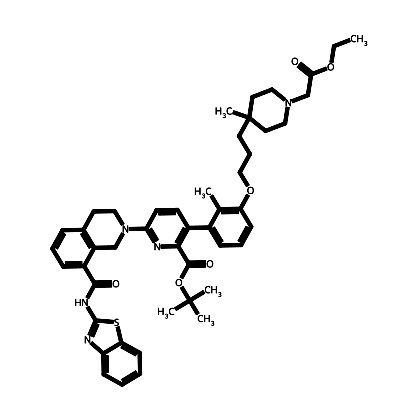 CCOC(=O)CN1CCC(C)(CCCOc2cccc(-c3ccc(N4CCc5cccc(C(=O)Nc6nc7ccccc7s6)c5C4)nc3C(=O)OC(C)(C)C)c2C)CC1